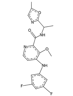 COc1c(Nc2cc(F)cc(F)c2)ccnc1C(=O)NC(C)c1ncc(C)o1